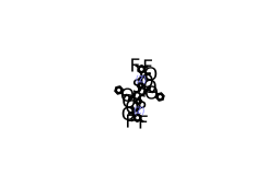 O=C(OCc1ccccc1)C1=CC2c3sc(/C=C4\C(=O)C(=O)c5c(F)cc(F)cc54)cc3C(C(=O)OCc3ccccc3)=CC2c2sc(/C=C3\C(=O)C(=O)c4c(F)cc(F)cc43)cc21